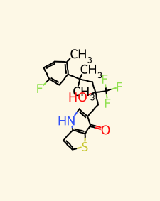 Cc1ccc(F)cc1C(C)(C)CC(O)(Cc1c[nH]c2ccsc2c1=O)C(F)(F)F